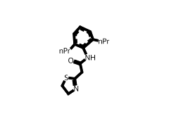 CCCc1cccc(CCC)c1NC(=O)CC1=NCCS1